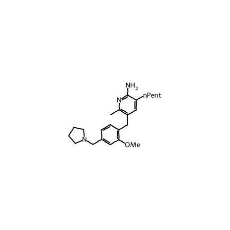 CCCCCc1cc(Cc2ccc(CN3CCCC3)cc2OC)c(C)nc1N